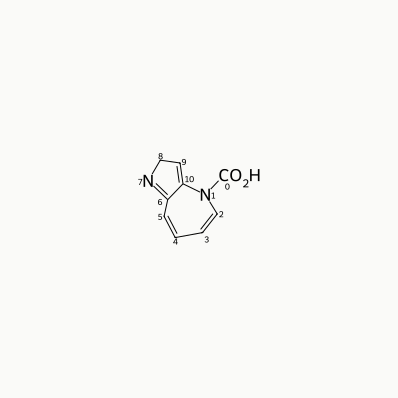 O=C(O)N1C=CC=CC2=NCC=C21